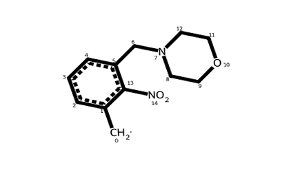 [CH2]c1cccc(CN2CCOCC2)c1[N+](=O)[O-]